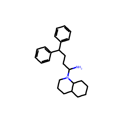 NC(CCC(c1ccccc1)c1ccccc1)N1CCCC2CCCCC21